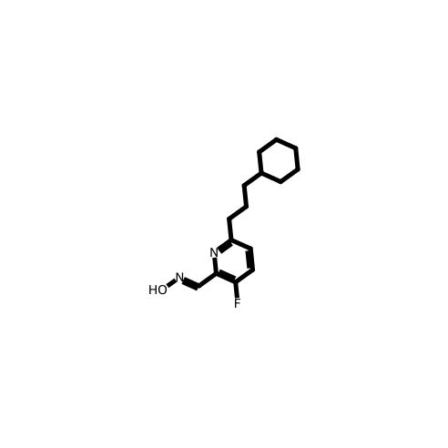 ON=Cc1nc(CCCC2CCCCC2)ccc1F